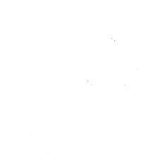 CC(C)(C)CCCNc1c(NC2CCOCC2)c(=O)c1=O